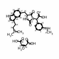 CNc1cccc(C(C(=O)O)N2C(=O)NC(Cc3ccc4[nH]cc(CCN(C)C)c4c3)C2=O)c1.O.O=C(O)/C=C\C(=O)O